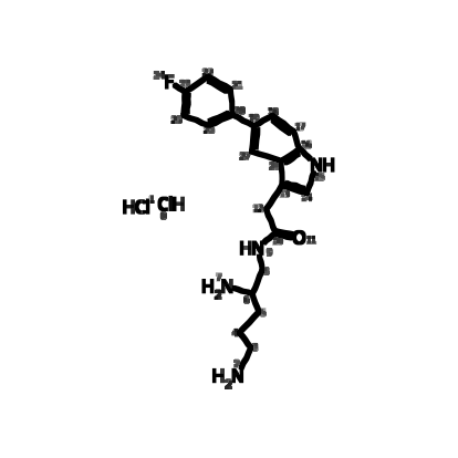 Cl.Cl.NCCCC(N)CNC(=O)Cc1c[nH]c2ccc(-c3ccc(F)cc3)cc12